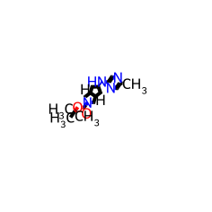 Cc1cnc(N[C@H]2C[C@@H]3CN(C(=O)OC(C)(C)C)C[C@@H]3C2)cn1